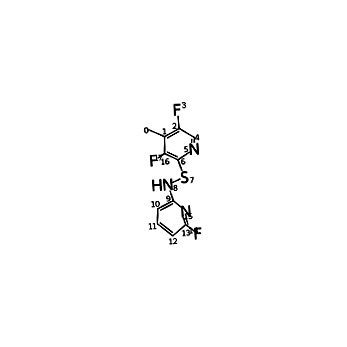 Cc1c(F)cnc(SNc2cccc(F)n2)c1F